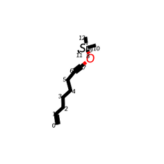 C=CCCCCC#CO[Si](C)(C)C